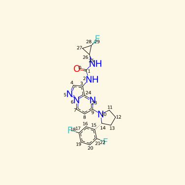 O=C(Nc1cnn2ccc(N3CCC[C@@H]3c3cc(F)ccc3F)nc12)N[C@H]1C[C@H]1F